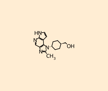 Cc1nc2cnc3[nH]ccc3c2n1[C@H]1CC[C@H](CO)CC1